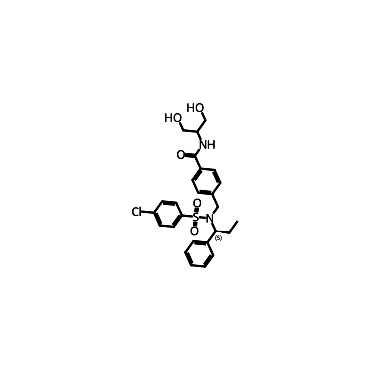 CC[C@@H](c1ccccc1)N(Cc1ccc(C(=O)NC(CO)CO)cc1)S(=O)(=O)c1ccc(Cl)cc1